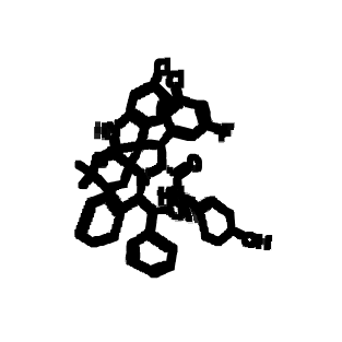 CC1(C)CCC2(CC1)N([C@H](c1ccccc1)[C@@H](O)c1ccccc1)[C@@H](C(=O)NC1CCC(O)CC1)[C@H](c1cc(F)cc(Cl)c1)[C@@]21C(=O)Nc2cc(Cl)ccc21